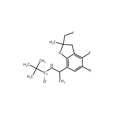 CC(N[S@+]([O-])C(C)(C)C)c1cc(F)c(F)c2c1OC(C)(CI)C2